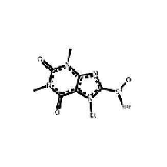 CCC[S+]([O-])c1nc2c(c(=O)n(C)c(=O)n2C)n1CC